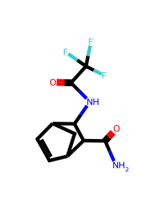 NC(=O)C1C2C=CC(C2)C1NC(=O)C(F)(F)F